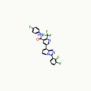 O=C(Nc1ccc(F)cc1)c1cc(-c2cccn3c(-c4cccc(F)c4F)ncc23)cnc1C(F)(F)F